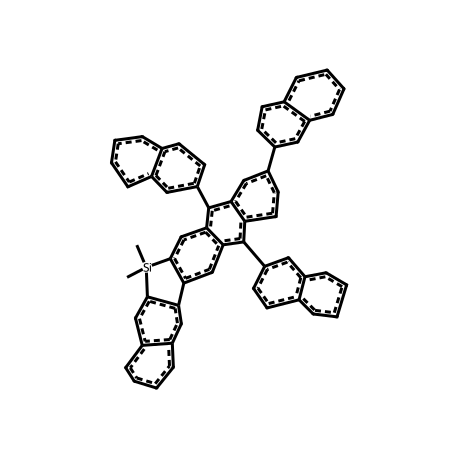 C[Si]1(C)c2cc3ccccc3cc2-c2cc3c(-c4ccc5ccccc5c4)c4ccc(-c5ccc6ccccc6c5)cc4c(-c4ccc5ccccc5c4)c3cc21